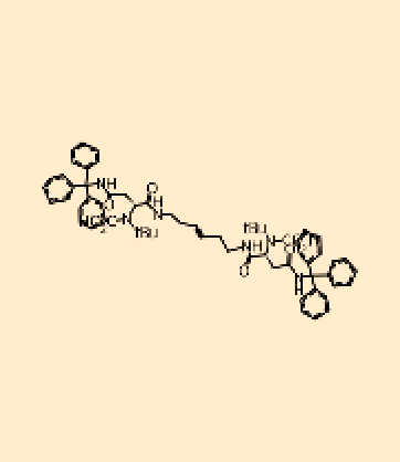 CC(C)(C)N(C(=O)O)[C@@H](CC(=O)NC(c1ccccc1)(c1ccccc1)c1ccccc1)C(=O)NCCC=CCCNC(=O)[C@H](CC(=O)NC(c1ccccc1)(c1ccccc1)c1ccccc1)N(C(=O)O)C(C)(C)C